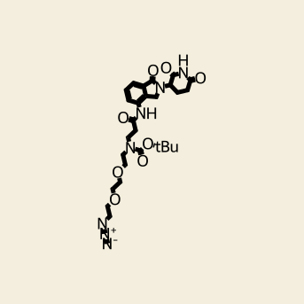 CC(C)(C)OC(=O)N(CCOCCOCCN=[N+]=[N-])CCC(=O)Nc1cccc2c1CN(C1CCC(=O)NC1=O)C2=O